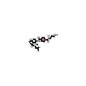 CO[C@H]1[C@H](C2(C)O[C@@H]2CC=C(C)C)[C@]2(CC[C@H]1NC(=O)C13CCC(C(=O)NCCCO)(CC1)CC3)CO2